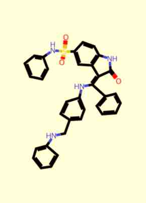 O=C1Nc2ccc(S(=O)(=O)Nc3ccccc3)cc2C1=C(Nc1ccc(CNc2ccccc2)cc1)c1ccccc1